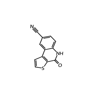 N#Cc1ccc2[nH]c(=O)c3sccc3c2c1